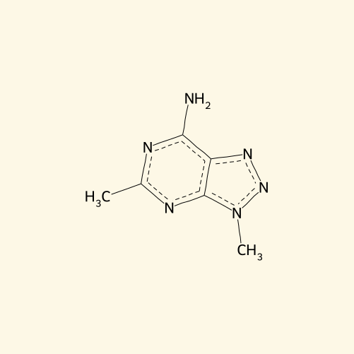 Cc1nc(N)c2nnn(C)c2n1